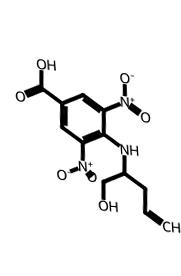 C=CCC(CO)Nc1c([N+](=O)[O-])cc(C(=O)O)cc1[N+](=O)[O-]